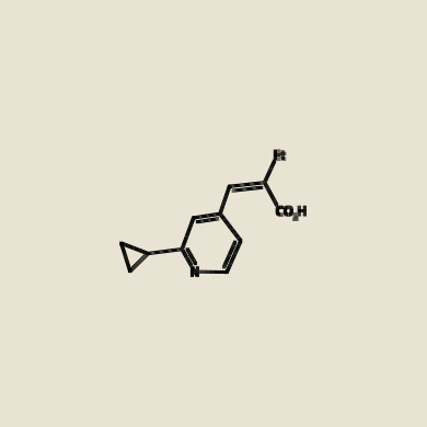 CCC(=Cc1ccnc(C2CC2)c1)C(=O)O